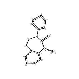 N[C@@H]1C(=O)N(c2ccccc2)CCc2ccccc21